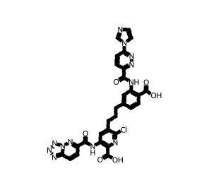 O=C(Nc1cc(CCCc2cc(NC(=O)c3ccc4nnnn4n3)c(C(=O)O)nc2Cl)ccc1C(=O)O)c1ccc(-n2ccnc2)nn1